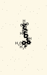 COC1=CC(C)CC=C1c1ccccc1CNC1CCC(Nc2nccc(/C=C3\SC(=O)NC3=O)n2)CC1